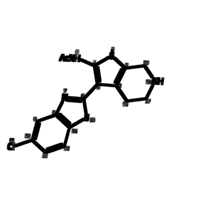 CC(=O)Nc1sc2c(c1-c1nc3cc(Cl)ccc3s1)CCNC2